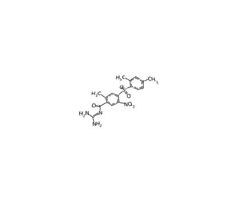 Cc1ccc(S(=O)(=O)c2cc(C)c(C(=O)N=C(N)N)cc2[N+](=O)[O-])c(C)c1